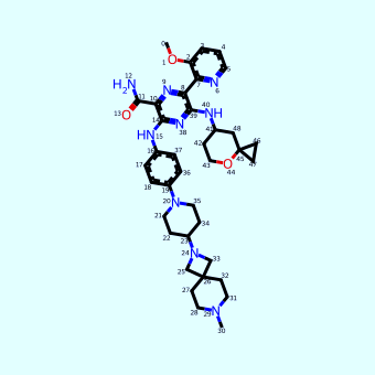 COc1cccnc1-c1nc(C(N)=O)c(Nc2ccc(N3CCC(N4CC5(CCN(C)CC5)C4)CC3)cc2)nc1NC1CCOC2(CC2)C1